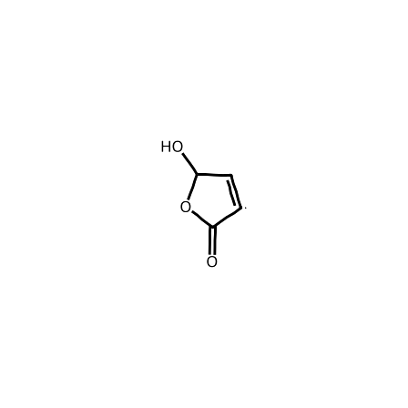 O=C1[C]=CC(O)O1